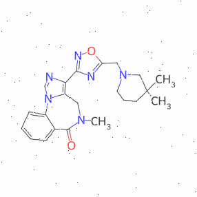 CN1Cc2c(-c3noc(CN4CCCC(C)(C)C4)n3)ncn2-c2ccccc2C1=O